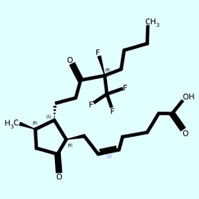 CCCC[C@@](F)(C(=O)CC[C@H]1[C@H](C)CC(=O)[C@@H]1C/C=C\CCCC(=O)O)C(F)(F)F